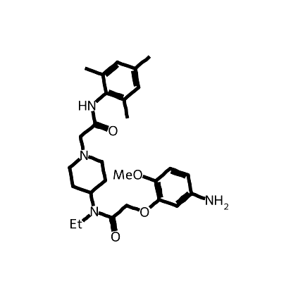 CCN(C(=O)COc1cc(N)ccc1OC)C1CCN(CC(=O)Nc2c(C)cc(C)cc2C)CC1